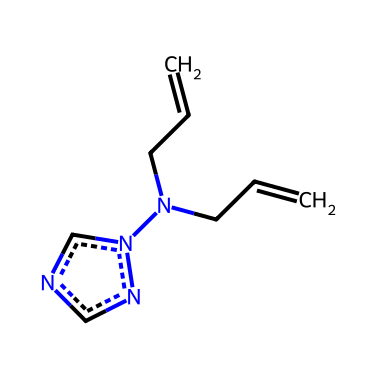 C=CCN(CC=C)n1cncn1